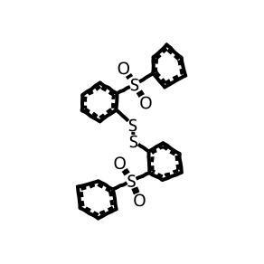 O=S(=O)(c1ccccc1)c1ccccc1SSc1ccccc1S(=O)(=O)c1ccccc1